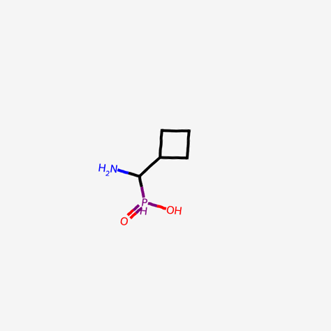 NC(C1CCC1)[PH](=O)O